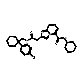 O=C(Cc1cn2c(C(=O)NC3CCCCC3)cccc2n1)NCC1(c2ccc(Cl)cc2)CCCCC1